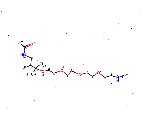 CC(C)NCCOCCOCCOCCOC(C)(C)C(F)CNC(=O)C(C)C